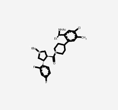 CC[C@@H](NC(C)=O)c1cc(Cl)c(C)cc1C1CCN(C(=O)[C@@H]2CN(C(C)(C)C)C[C@H]2c2ccc(F)cc2F)CC1